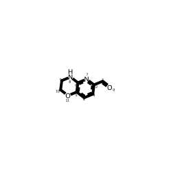 O=Cc1ccc2c(n1)NCCO2